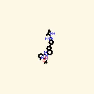 C=C1C2CC2N[C@@H]1c1nc2ccc(-c3ccc4c(c3)CCCc3[nH]c([C@@H]5CCCC(C)N5C(=O)OC(C)(C)C)nc3-4)cc2[nH]1